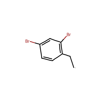 [CH2]Cc1ccc(Br)cc1Br